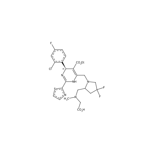 CCOC(=O)C1=C(CN2CC(F)(F)CC2CN(C)CC(=O)O)NC(c2nccs2)=N[C@H]1c1ccc(F)cc1Cl